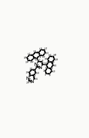 c1ccc2c(-c3cc(-c4c5ccccc5cc5ccccc45)nc(-c4ccc5ncncc5c4)n3)c3ccccc3cc2c1